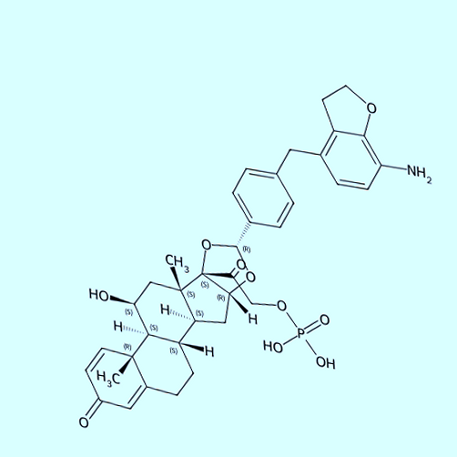 C[C@]12C=CC(=O)C=C1CC[C@@H]1[C@@H]2[C@@H](O)C[C@@]2(C)[C@H]1C[C@H]1O[C@@H](c3ccc(Cc4ccc(N)c5c4CCO5)cc3)O[C@]12C(=O)COP(=O)(O)O